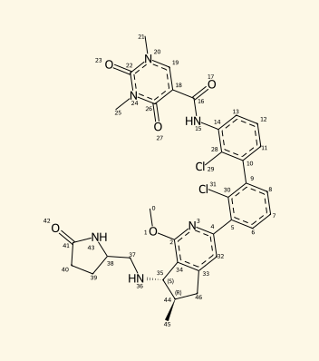 COc1nc(-c2cccc(-c3cccc(NC(=O)c4cn(C)c(=O)n(C)c4=O)c3Cl)c2Cl)cc2c1[C@@H](NCC1CCC(=O)N1)[C@H](C)C2